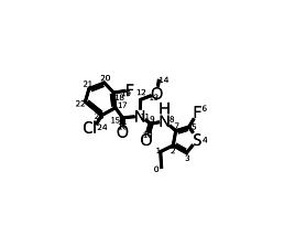 CCc1csc(F)c1NC(=O)N(COC)C(=O)c1c(F)cccc1Cl